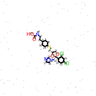 CN(CCc1ccc(SC[C@@H]2CO[C@@](Cn3ccnc3)(c3ccc(Cl)cc3Cl)O2)cc1)C(=O)O